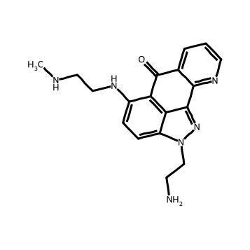 CNCCNc1ccc2c3c(nn2CCN)-c2ncccc2C(=O)c13